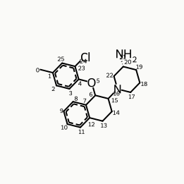 Cc1ccc(OC2c3ccccc3CCC2N2CCC[C@@H](N)C2)c(Cl)c1